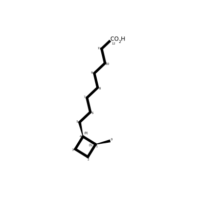 C[C@H]1CC[C@H]1CCCCCCCC(=O)O